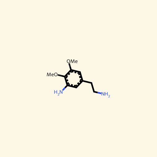 COc1cc(CCN)cc(N)c1OC